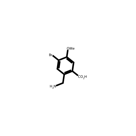 COc1cc(C(=O)O)c(CN)cc1Br